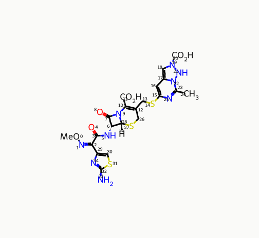 CO/N=C(\C(=O)N[C@@H]1C(=O)N2C(C(=O)O)=C(CSC3=CC4=CN(C(=O)O)NN4C(C)=N3)CS[C@H]12)c1csc(N)n1